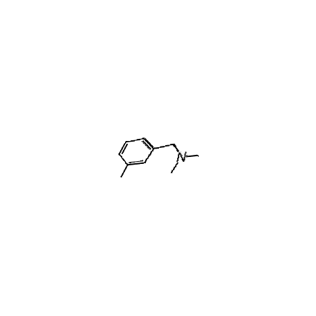 Cc1cccc(CN(C)C)c1